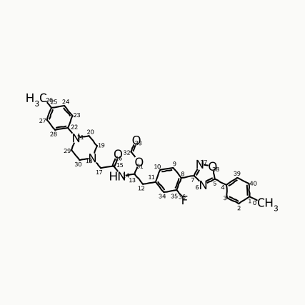 Cc1ccc(-c2nc(-c3ccc(CC(NC(=O)CN4CCN(c5ccc(C)cc5)CC4)OC=O)cc3F)no2)cc1